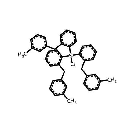 Cc1cccc(Cc2ccccc2[Si](Cl)(c2ccccc2Cc2cccc(C)c2)c2ccccc2Cc2cccc(C)c2)c1